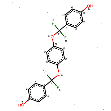 Oc1ccc(C(F)(F)Oc2ccc(OC(F)(F)c3ccc(O)cc3)cc2)cc1